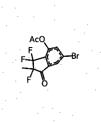 CC(=O)Oc1cc(Br)cc2c1C(F)(F)C(C)(F)C2=O